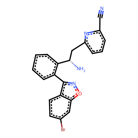 N#Cc1cccc(C[C@H](N)c2ccccc2-c2noc3cc(Br)ccc23)n1